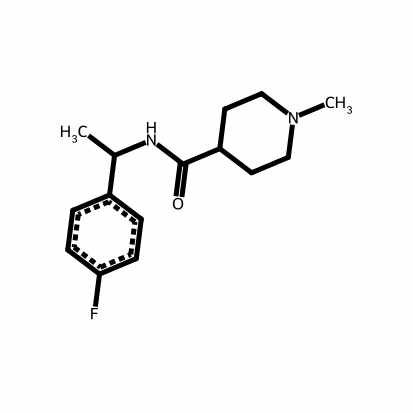 CC(NC(=O)C1CCN(C)CC1)c1ccc(F)cc1